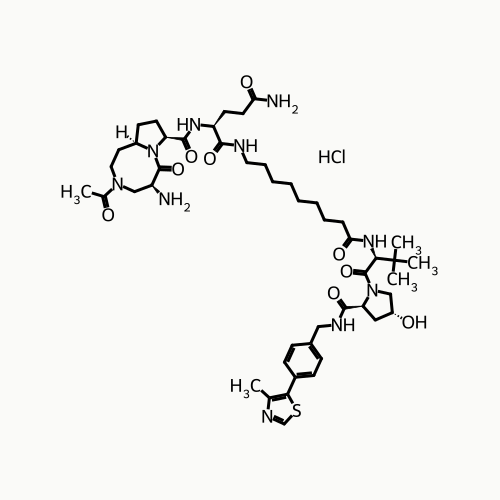 CC(=O)N1CC[C@H]2CC[C@@H](C(=O)N[C@@H](CCC(N)=O)C(=O)NCCCCCCCCC(=O)N[C@H](C(=O)N3C[C@H](O)C[C@H]3C(=O)NCc3ccc(-c4scnc4C)cc3)C(C)(C)C)N2C(=O)[C@@H](N)C1.Cl